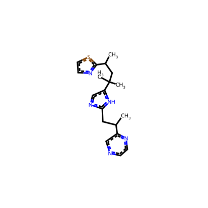 CC(Cc1ncc(C(C)(C)CC(C)c2nccs2)[nH]1)c1cnccn1